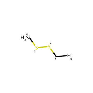 CCCSS[SiH3]